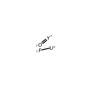 [Li][F].[O]=[Y]